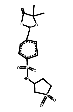 C=C1OB(c2ccc(S(=O)(=O)NC3CCS(=O)(=O)C3)cc2)OC1(C)C